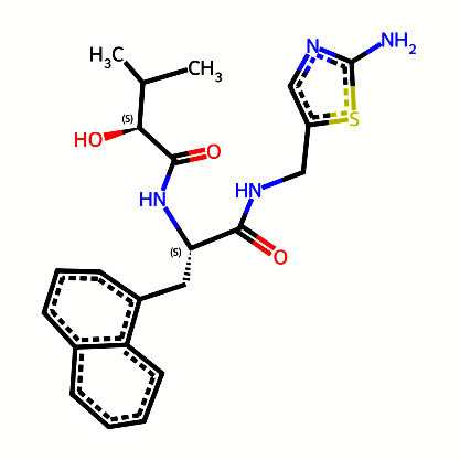 CC(C)[C@H](O)C(=O)N[C@@H](Cc1cccc2ccccc12)C(=O)NCc1cnc(N)s1